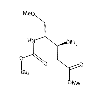 COC[C@@H](NC(=O)OC(C)(C)C)[C@@H](N)CC(=O)OC